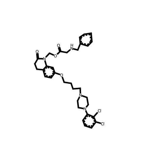 O=C(CNCc1ccccc1)OCN1C(=O)CCc2ccc(OCCCCN3CCN(c4cccc(Cl)c4Cl)CC3)cc21